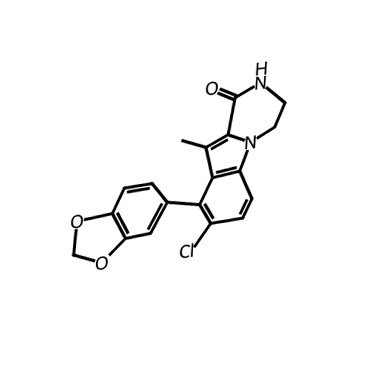 Cc1c2n(c3ccc(Cl)c(-c4ccc5c(c4)OCO5)c13)CCNC2=O